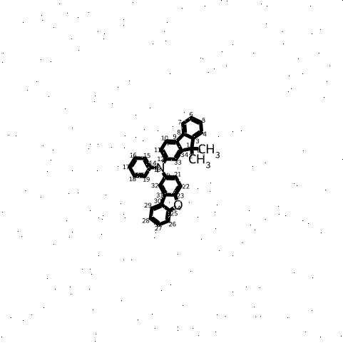 CC1(C)c2ccccc2-c2ccc(N(c3ccccc3)c3ccc4oc5ccccc5c4c3)cc21